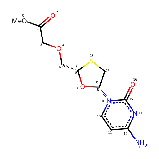 COC(=O)COC[C@H]1O[C@@H](n2ccc(N)nc2=O)CS1